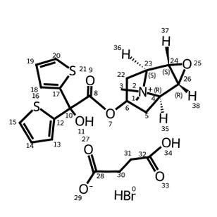 Br.C[N+]1(C)[C@@H]2CC(OC(=O)C(O)(c3cccs3)c3cccs3)C[C@H]1[C@@H]1O[C@@H]12.O=C([O-])CCC(=O)O